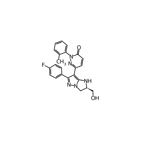 Cc1ccccc1-n1nc(-c2c(-c3ccc(F)cc3)nn3c2N[C@@H](CO)C3)ccc1=O